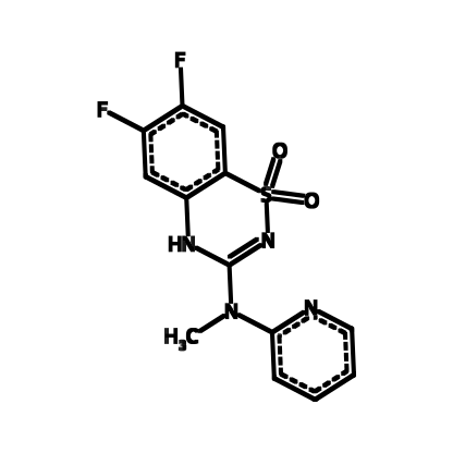 CN(C1=NS(=O)(=O)c2cc(F)c(F)cc2N1)c1ccccn1